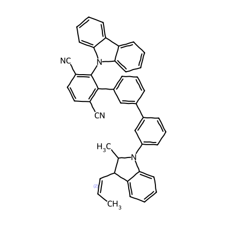 C/C=C\C1c2ccccc2N(c2cccc(-c3cccc(-c4c(C#N)ccc(C#N)c4-n4c5ccccc5c5ccccc54)c3)c2)C1C